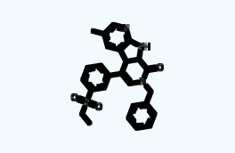 CCS(=O)(=O)c1cccc(C2=CN(Cc3ccccc3)C(=O)C3Nc4ncc(C)cc4C23)c1